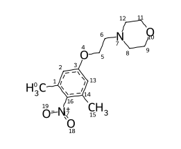 Cc1cc(OCCN2CCOCC2)cc(C)c1[N+](=O)[O-]